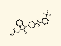 O=C(O)Cn1c(=O)n(C2CCN(S(=O)(=O)c3cccc(C(F)(F)F)c3)CC2)c2ncccc21